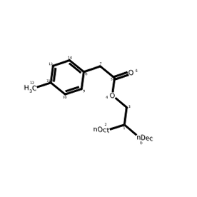 CCCCCCCCCCC(CCCCCCCC)COC(=O)Cc1ccc(C)cc1